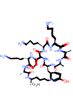 C[C@H](NC(=O)[C@H](C)NC(=O)[C@H](CCCCN)NC(=O)[C@H](CCCCN)NC(=O)[C@@H](N)CCC(=O)O)C(=O)N[C@@H](Cc1ccc(O)cc1)C(=O)N[C@@H](C)C(=O)N[C@@H](CCCCN)C(=O)N[C@@H](C)C(=O)N[C@@H](CCCCN)C(=O)O